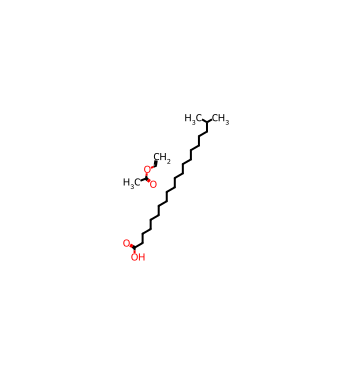 C=COC(C)=O.CC(C)CCCCCCCCCCCCCCCCCC(=O)O